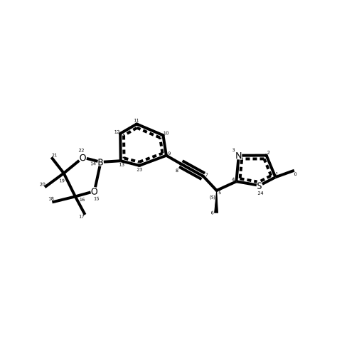 Cc1cnc([C@@H](C)C#Cc2cccc(B3OC(C)(C)C(C)(C)O3)c2)s1